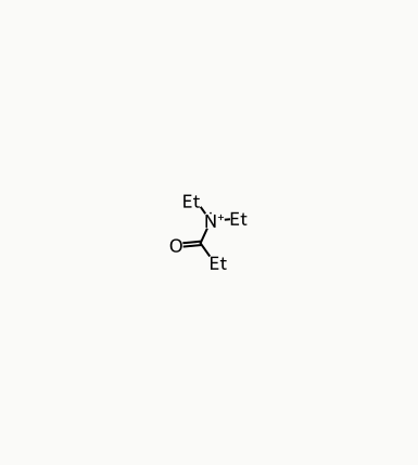 CCC(=O)[N+](CC)CC